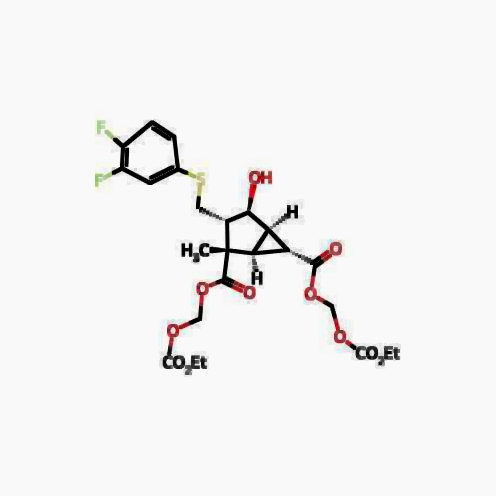 CCOC(=O)OCOC(=O)[C@H]1[C@@H]2[C@H](O)[C@@H](CSc3ccc(F)c(F)c3)[C@@](C)(C(=O)OCOC(=O)OCC)[C@H]12